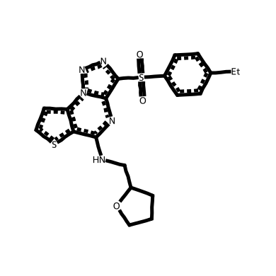 CCc1ccc(S(=O)(=O)c2nnn3c2nc(NCC2CCCO2)c2sccc23)cc1